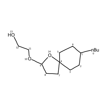 CCCCC1CCC2(CC1)CCC(OCCO)O2